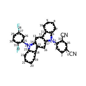 N#Cc1ccc(-n2c3ccccc3c3cc4c(cc32)c2ccccc2n4-c2cc(F)ccc2F)c(C#N)c1